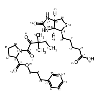 CCC(C)(C)C(=O)C(=O)N1CCCC1C(=O)OCCCc1cccnc1.O=C(O)CCCC[C@@H]1SC[C@@H]2NC(=O)N[C@@H]21